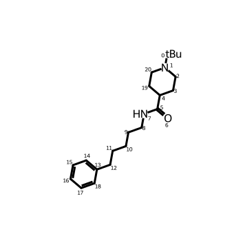 CC(C)(C)N1CCC(C(=O)NCCCCCc2ccccc2)CC1